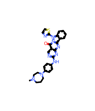 CN1CCCN(c2ccc(Nc3ncc4c(=O)n5c(nc4n3)c3ccccc3n5-c3nccs3)cc2)CC1